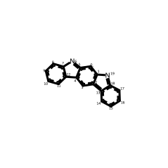 [c]1c2c(cc3c1=Nc1ccccc1-3)=c1ccccc1=N2